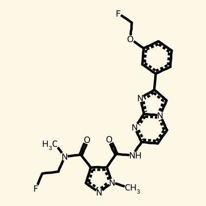 CN(CCF)C(=O)c1cnn(C)c1C(=O)Nc1ccn2cc(-c3cccc(OCF)c3)nc2n1